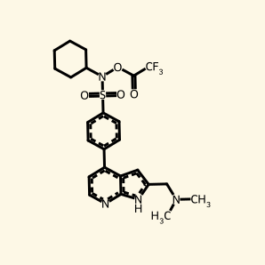 CN(C)Cc1cc2c(-c3ccc(S(=O)(=O)N(OC(=O)C(F)(F)F)C4CCCCC4)cc3)ccnc2[nH]1